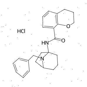 Cl.O=C(NC12CCCC(CC1)N2Cc1ccccc1)c1cccc2c1OCCC2